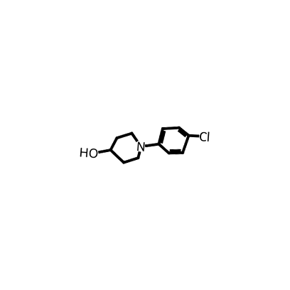 OC1CCN(c2ccc(Cl)cc2)CC1